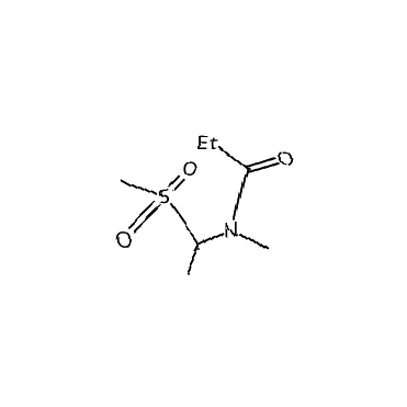 CCC(=O)N(C)[C](C)S(C)(=O)=O